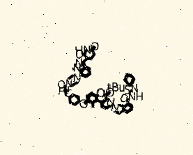 Cc1c(O[C@H]2CC[C@H](CC(F)(F)C(=O)N3CCN(c4cccc5c(C6CCC(=O)NC6=O)nn(C)c45)CC3)CC2)cccc1-c1ccc(N2CCc3cccc(C(=O)Nc4nc5ccccc5s4)c3C2)nc1C(=O)OC(C)(C)C